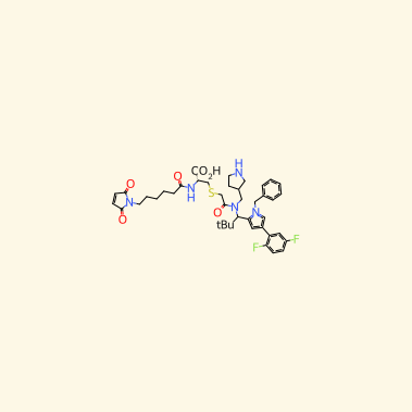 CC(C)(C)C(c1cc(-c2cc(F)ccc2F)cn1Cc1ccccc1)N(CC1CCNC1)C(=O)CSC[C@H](NC(=O)CCCCCN1C(=O)C=CC1=O)C(=O)O